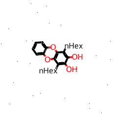 CCCCCCc1c(O)c(O)c(CCCCCC)c2c1Oc1ccccc1O2